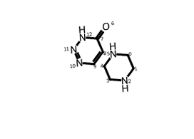 C1CNCCN1.O=c1ccnn[nH]1